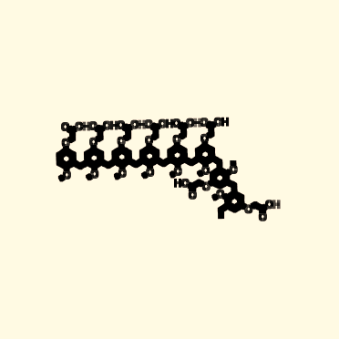 CCc1cc(OCC(=O)O)cc(Cc2cc(OCC(=O)O)cc(Cc3cc(OCC(=O)O)cc(Cc4cc(OCC(=O)O)cc(Cc5cc(OCC(=O)O)cc(Cc6cc(OCC(=O)O)cc(Cc7cc(OCC(=O)O)cc(Cc8cc(OCC(=O)O)ccc8OC)c7OC)c6OC)c5OC)c4OC)c3OC)c2OC)c1OC